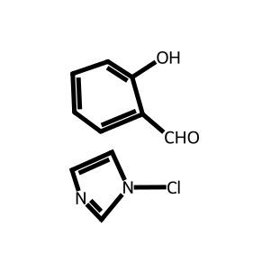 Cln1ccnc1.O=Cc1ccccc1O